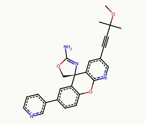 COC(C)(C)C#Cc1cnc2c(c1)[C@]1(COC(N)=N1)c1cc(-c3cccnc3)ccc1O2